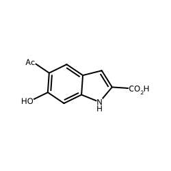 CC(=O)c1cc2cc(C(=O)O)[nH]c2cc1O